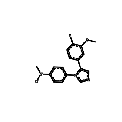 COc1cc(-c2cncn2-c2ccc([S+](C)[O-])cc2)ccc1F